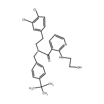 CC(C)(C)c1ccc(CN(CCc2ccc(Cl)c(Cl)c2)C(=O)c2cccnc2NCCO)cc1